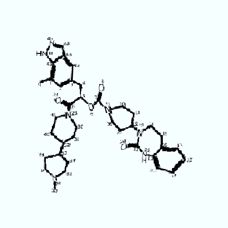 Cc1cc(C[C@@H](OC(=O)N2CCC(N3CCc4ccccc4NC3=O)CC2)C(=O)N2CCC(C3CCN(C)CC3)CC2)cc2cn[nH]c12